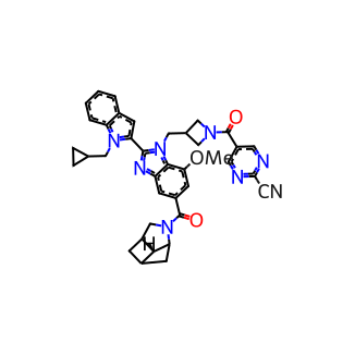 COc1cc(C(=O)N2CC3CC4CC2[C@H]43)cc2nc(-c3cc4ccccc4n3CC3CC3)n(CC3CN(C(=O)c4cnc(C#N)nc4)C3)c12